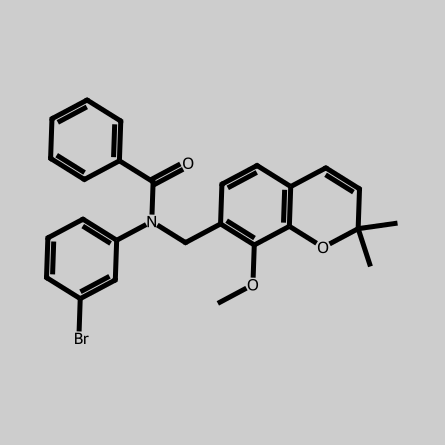 COc1c(CN(C(=O)c2ccccc2)c2cccc(Br)c2)ccc2c1OC(C)(C)C=C2